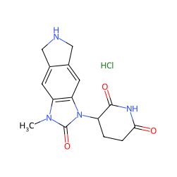 Cl.Cn1c(=O)n(C2CCC(=O)NC2=O)c2cc3c(cc21)CNC3